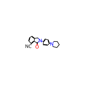 N#Cc1cccc2c1C(=O)N(c1ccc(N3CCCCC3)cc1)C2